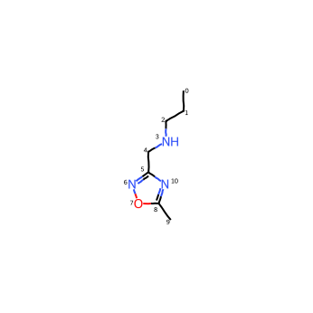 CCCNCc1noc(C)n1